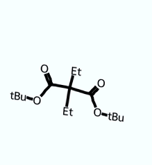 CCC(CC)(C(=O)OC(C)(C)C)C(=O)OC(C)(C)C